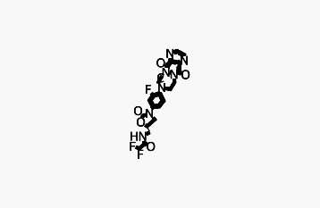 O=C(NC[C@H]1CN(c2ccc(N3CCn4c(=O)c5nccnc5c(=O)n4CC3)c(F)c2)C(=O)O1)C(F)F